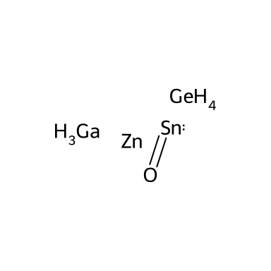 [GaH3].[GeH4].[O]=[Sn].[Zn]